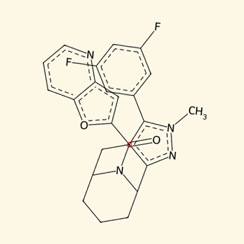 Cn1nc2c(c1-c1cc(F)cc(F)c1)CC1CCCC2N1C(=O)c1cc2ncccc2o1